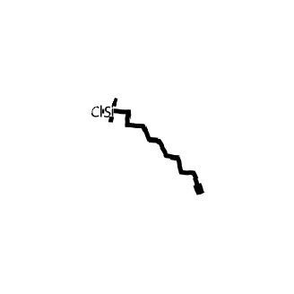 C#CCCCCCCCCC[Si](C)(C)Cl